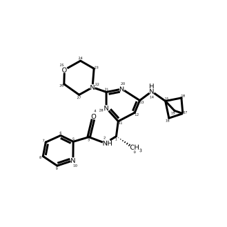 C[C@H](NC(=O)c1ccccn1)c1cc(NC23CC(C2)C3)nc(N2CCOCC2)n1